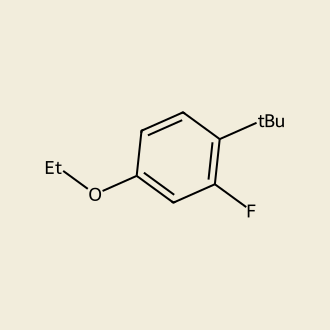 CCOc1ccc(C(C)(C)C)c(F)c1